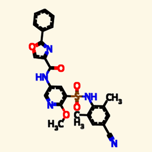 COc1ncc(NC(=O)c2coc(-c3ccccc3)n2)cc1S(=O)(=O)Nc1c(C)cc(C#N)cc1C